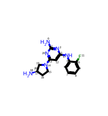 Nc1nc(Nc2ccccc2F)cc(N2CC[C@@H](N)C2)n1